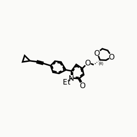 CCn1c(-c2ccc(C#CC3CC3)cc2)cc(OC[C@H]2COCCO2)cc1=O